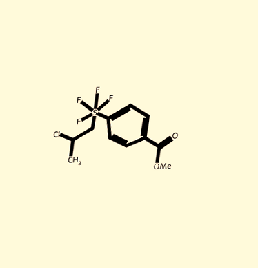 COC(=O)c1ccc(S(F)(F)(F)(F)CC(C)Cl)cc1